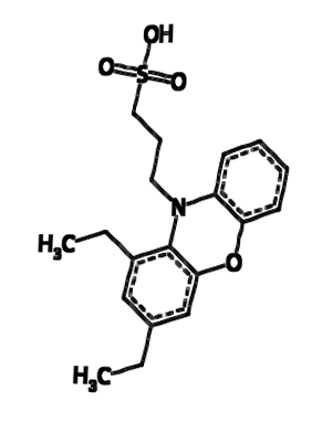 CCc1cc(CC)c2c(c1)Oc1ccccc1N2CCCS(=O)(=O)O